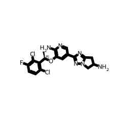 C[C@@H](Oc1cc(-c2nc3n(n2)CC(N)C3)cnc1N)c1c(Cl)ccc(F)c1Cl